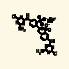 Nc1nc(Cl)nc(Nc2ccc(C=Cc3ccc(Nc4nc(N)nc(Cl)n4)cc3S(=O)(=O)[O-])c(S(=O)(=O)[O-])c2)n1.[Na+].[Na+]